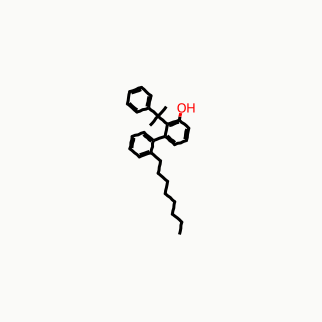 CCCCCCCCc1ccccc1-c1cccc(O)c1C(C)(C)c1ccccc1